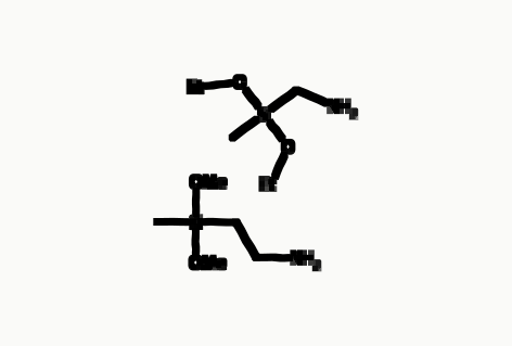 CCO[Si](C)(CN)OCC.CO[Si](C)(CCN)OC